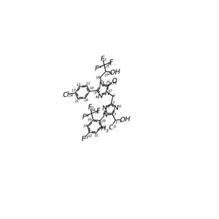 CC(O)c1nc(Cn2nc(-c3ccc(Cl)cc3)n(CC(O)C(F)(F)F)c2=O)nn1-c1ccc(F)cc1C(F)(F)F